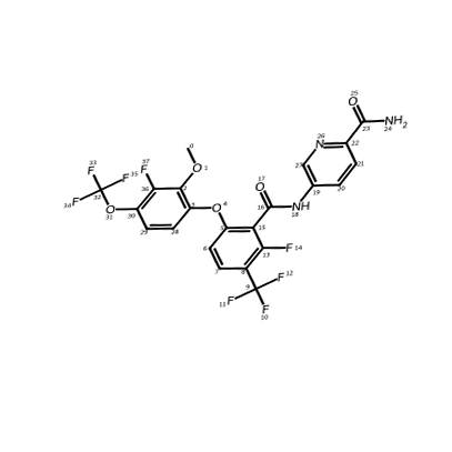 COc1c(Oc2ccc(C(F)(F)F)c(F)c2C(=O)Nc2ccc(C(N)=O)nc2)ccc(OC(F)(F)F)c1F